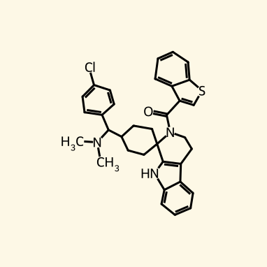 CN(C)C(c1ccc(Cl)cc1)C1CCC2(CC1)c1[nH]c3ccccc3c1CCN2C(=O)c1csc2ccccc12